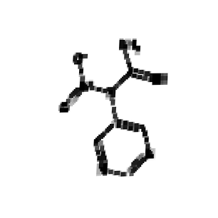 N=C(N)N(c1cncnc1)[N+](=O)[O-]